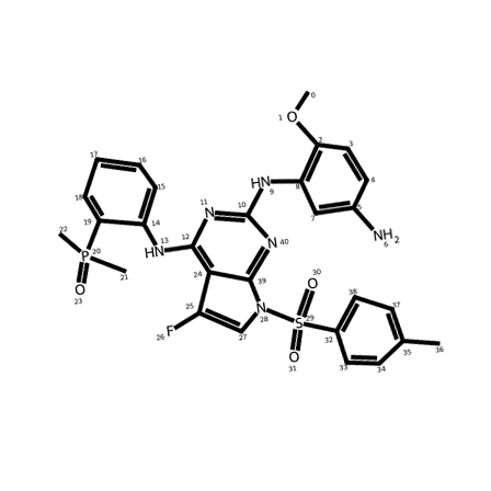 COc1ccc(N)cc1Nc1nc(Nc2ccccc2P(C)(C)=O)c2c(F)cn(S(=O)(=O)c3ccc(C)cc3)c2n1